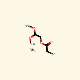 CCCCOC(COC(=O)CC(C)=O)OCCCC.[AlH3]